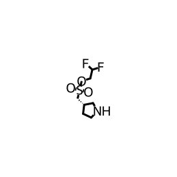 O=S(=O)(C[C@H]1CCNC1)OCC(F)F